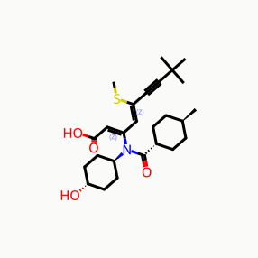 CS/C(C#CC(C)(C)C)=C\C(=C\C(=O)O)N(C(=O)[C@H]1CC[C@H](C)CC1)[C@H]1CC[C@H](O)CC1